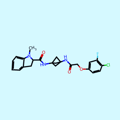 CN1c2ccccc2CC1C(=O)NC12CC(NC(=O)COc3ccc(Cl)c(F)c3)(C1)C2